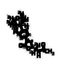 [2H]C([2H])(NC(C)=O)[C@H]1CN(c2ccc(N3C([2H])([2H])C([2H])([2H])OC([2H])([2H])C3([2H])[2H])c(F)c2)C(=O)O1